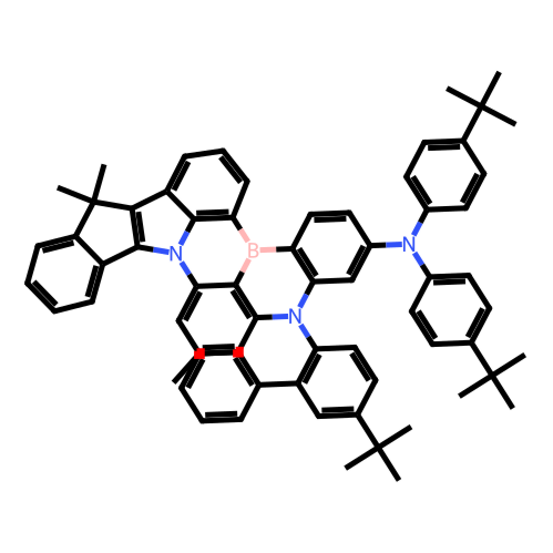 Cc1cc2c3c(c1)-n1c4c(c5cccc(c51)B3c1ccc(N(c3ccc(C(C)(C)C)cc3)c3ccc(C(C)(C)C)cc3)cc1N2c1ccc(C(C)(C)C)cc1-c1ccccc1)C(C)(C)c1ccccc1-4